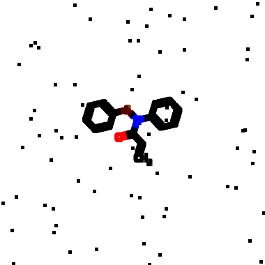 C=CC(=O)N(Sc1ccccc1)c1ccccc1